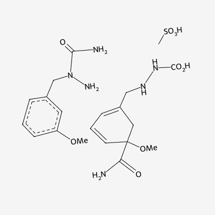 COC1(C(N)=O)C=CC=C(CNNC(=O)O)C1.COc1cccc(CN(N)C(N)=O)c1.CS(=O)(=O)O